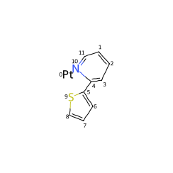 [Pt].c1ccc(-c2cccs2)nc1